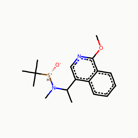 COc1ncc(C(C)N(C)[S@@+]([O-])C(C)(C)C)c2ccccc12